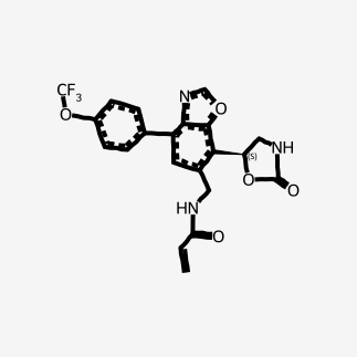 C=CC(=O)NCc1cc(-c2ccc(OC(F)(F)F)cc2)c2ncoc2c1[C@H]1CNC(=O)O1